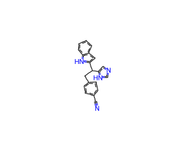 N#Cc1ccc(CC(c2cnc[nH]2)c2cc3ccccc3[nH]2)cc1